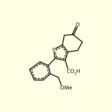 COCc1ccccc1-c1sc2c(c1C(=O)O)CCC(=O)C2